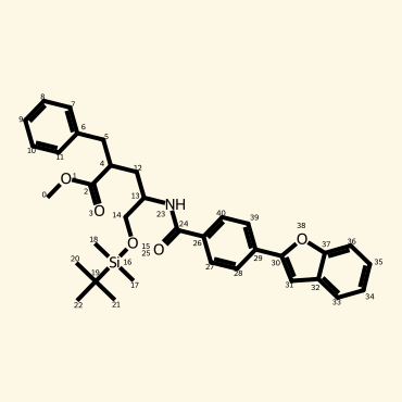 COC(=O)C(Cc1ccccc1)CC(CO[Si](C)(C)C(C)(C)C)NC(=O)c1ccc(-c2cc3ccccc3o2)cc1